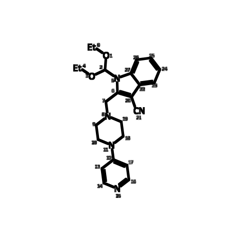 CCOC(OCC)n1c(CN2CCN(c3ccncc3)CC2)c(C#N)c2ccccc21